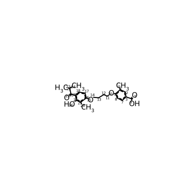 Cc1cc(C(=O)O)ccc1OCCCCOc1ccc(C(=O)C(C)C)c(O)c1C